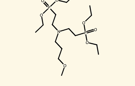 CCOP(=O)(CCN(CCCOC)CCP(=O)(OCC)OCC)OCC